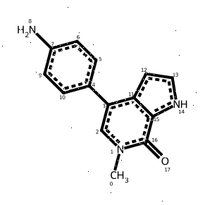 Cn1cc(-c2ccc(N)cc2)c2cc[nH]c2c1=O